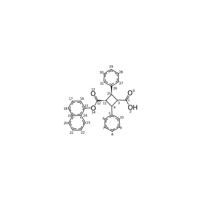 O=C(O)C1C(c2ccccc2)[C@@H](C(=O)Oc2cccc3ccccc23)[C@H]1c1ccccc1